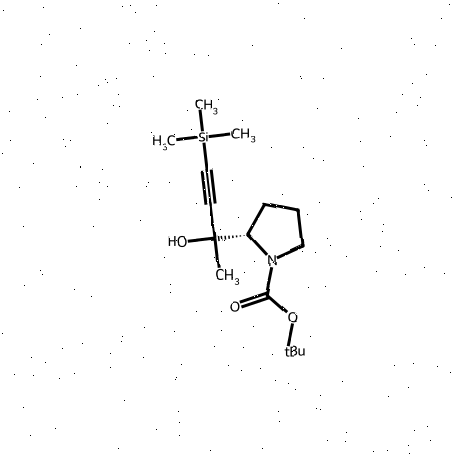 CC(C)(C)OC(=O)N1CCC[C@H]1C(C)(O)C#C[Si](C)(C)C